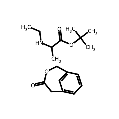 CCNC(C)C(=O)OC(C)(C)C.O=C1Cc2cccc(c2)CO1